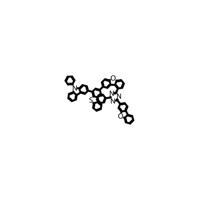 c1ccc(-c2nc(-c3ccc4c(c3)oc3ccccc34)nc(-c3cccc4oc5ccc(-c6cc(-c7ccc8c(c7)c7ccccc7n8-c7ccccc7)c7sc8ccccc8c7c6)cc5c34)n2)cc1